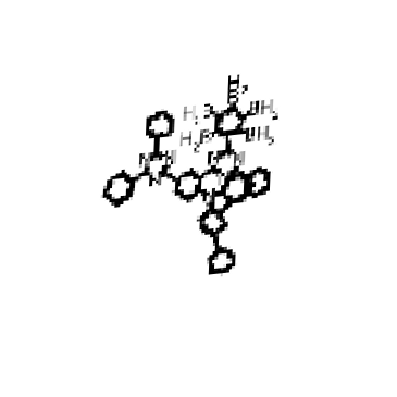 Bc1c(B)c(B)c(-c2nc(-c3ccccc3)nc(-c3cc(-c4nc(-c5ccccc5)nc(-c5ccccc5)n4)ccc3-n3c4ccccc4c4cc(-c5ccccc5)ccc43)n2)c(B)c1B